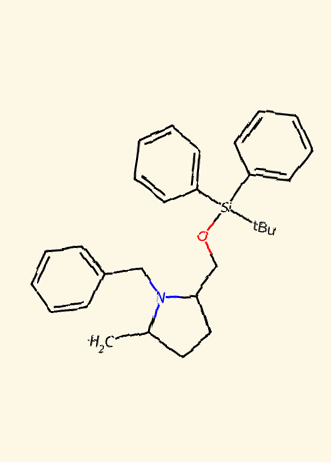 [CH2]C1CCC(CO[Si](c2ccccc2)(c2ccccc2)C(C)(C)C)N1Cc1ccccc1